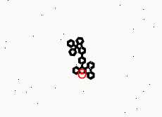 c1ccc(C2(c3ccccc3)c3ccccc3-c3ccc(-c4ccc(C5c6ccccc6Oc6c5c5ccccc5c5ccccc65)cc4)cc32)cc1